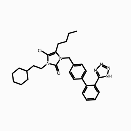 CCCCc1c(Cl)n(CCC2CCCCC2)c(=O)n1Cc1ccc(-c2ccccc2-c2nnn[nH]2)cc1